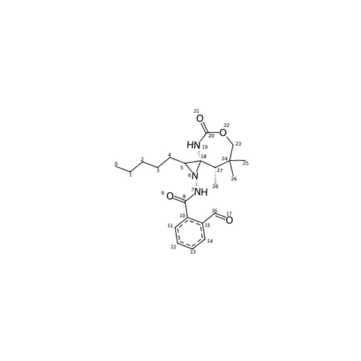 CCCCCC1[N@@](NC(=O)c2ccccc2C=O)[C@@]12NC(=O)OCC(C)(C)[C@@H]2C